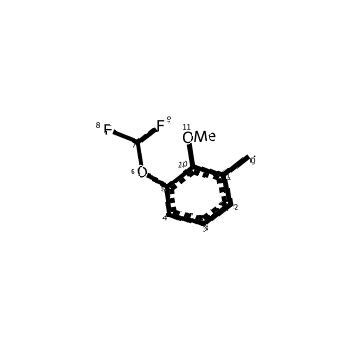 [CH2]c1cccc(OC(F)F)c1OC